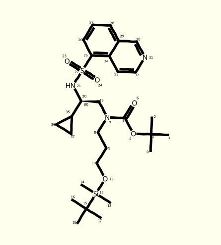 CC(C)(C)OC(=O)N(CCCO[Si](C)(C)C(C)(C)C)C[C@H](NS(=O)(=O)c1cccc2cnccc12)C1CC1